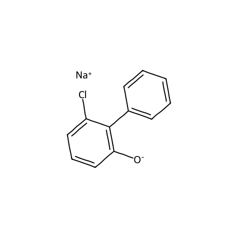 [Na+].[O-]c1cccc(Cl)c1-c1ccccc1